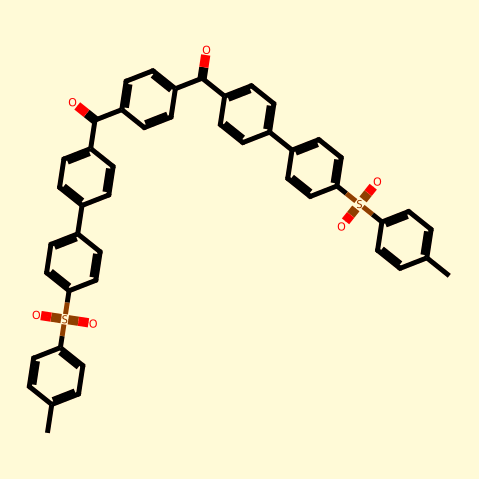 Cc1ccc(S(=O)(=O)c2ccc(-c3ccc(C(=O)c4ccc(C(=O)c5ccc(-c6ccc(S(=O)(=O)c7ccc(C)cc7)cc6)cc5)cc4)cc3)cc2)cc1